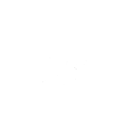 CCC1(C)CC(=O)C(C)C(C)(CC)N1OI